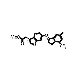 COC(=O)C[C@@H]1COc2cc(O[C@@H]3CCc4c3cc(C)cc4C(F)(F)F)ccc21